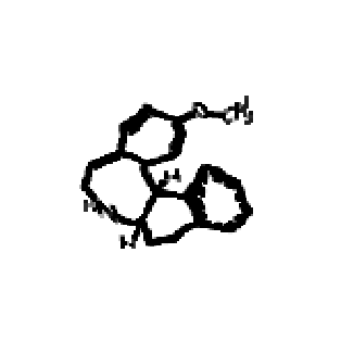 COC1=CC2C(=CCN[C@H]3CCc4ccccc4[C@@H]23)C=C1